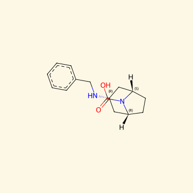 O=C(O)N1[C@@H]2CC[C@H]1C[C@@H](NCc1ccccc1)C2